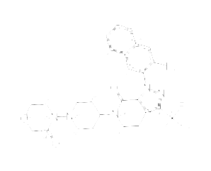 O=C1c2c(c(C(F)(F)F)nn2-c2cc3ccccc3cc2F)CCN1C1CCN(N2CCOCC2=O)CC1